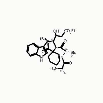 CCOC(=O)CC(O)[C@H](Cc1c[nH]c2ccccc12)N(C(=O)[C@@H](NC(=O)[C@H](C)N)[C@@H](C)CC)C1(C(=O)OC(C)(C)C)CCCCC1